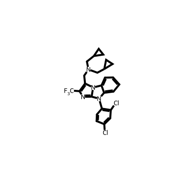 FC(F)(F)c1nc2n(-c3ccc(Cl)cc3Cl)c3ccccc3n2c1CN(CC1CC1)CC1CC1